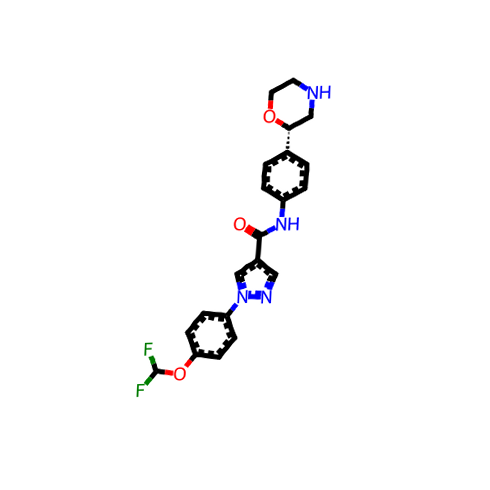 O=C(Nc1ccc([C@H]2CNCCO2)cc1)c1cnn(-c2ccc(OC(F)F)cc2)c1